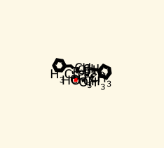 CP(C)(C)(Cc1ccccc1)P(O)(O)(O)P(C)(C)(C)Cc1ccccc1